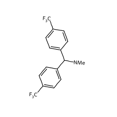 CNC(c1ccc(C(F)(F)F)cc1)c1ccc(C(F)(F)F)cc1